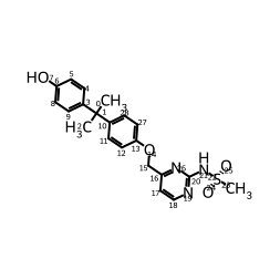 CC(C)(c1ccc(O)cc1)c1ccc(OCc2ccnc(NS(C)(=O)=O)n2)cc1